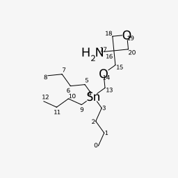 CCC[CH2][Sn]([CH2]CCC)([CH2]CCC)[CH2]OCC1(N)COC1